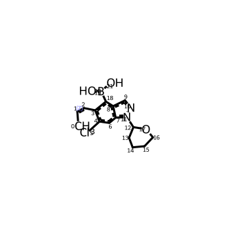 C/C=C\c1c(Cl)cc2c(cnn2C2CCCCO2)c1B(O)O